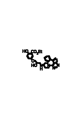 CCOC(=O)c1cc(OCC(O)CNC2CCN(c3ncnc4scc(-c5ccccc5)c34)CC2)ccc1O